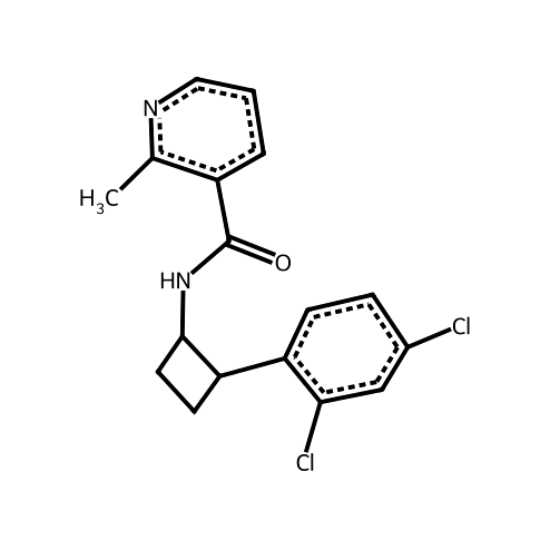 Cc1ncccc1C(=O)NC1CCC1c1ccc(Cl)cc1Cl